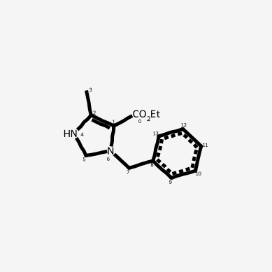 CCOC(=O)C1=C(C)NCN1Cc1ccccc1